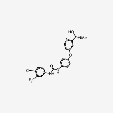 CNC(O)c1cc(Oc2ccc(NC(=O)Nc3ccc(Cl)c(C(F)(F)F)c3)cc2)ccn1